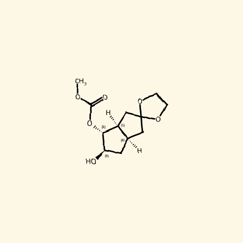 COC(=O)O[C@@H]1[C@H]2CC3(C[C@H]2C[C@H]1O)OCCO3